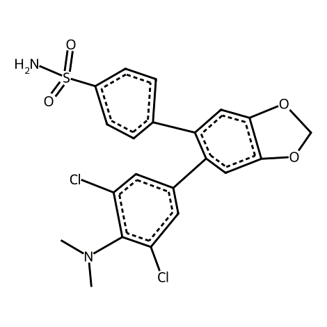 CN(C)c1c(Cl)cc(-c2cc3c(cc2-c2ccc(S(N)(=O)=O)cc2)OCO3)cc1Cl